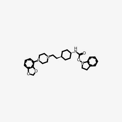 O=C(N[C@H]1CC[C@H](CCN2CCN(c3cccc4c3OCO4)CC2)CC1)ON1CCc2ccccc21